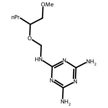 CCCC(COC)OCNc1nc(N)nc(N)n1